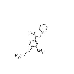 CCCCc1ccc(C(O)CN2CCCCC2)cc1C